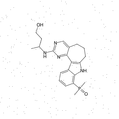 CC(CCO)Nc1ncc2c(n1)-c1c([nH]c3c(P(C)(C)=O)cccc13)CCC2